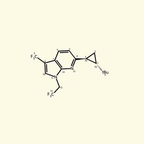 CC(C)(C)[C@H]1C[C@@H]1c1ccc2c(C(F)(F)F)cn(CC(F)(F)F)c2n1